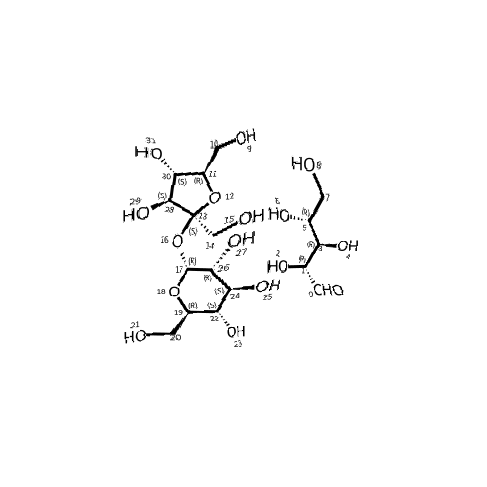 O=C[C@H](O)[C@H](O)[C@H](O)CO.OC[C@H]1O[C@@](CO)(O[C@H]2O[C@H](CO)[C@@H](O)[C@H](O)[C@H]2O)[C@@H](O)[C@@H]1O